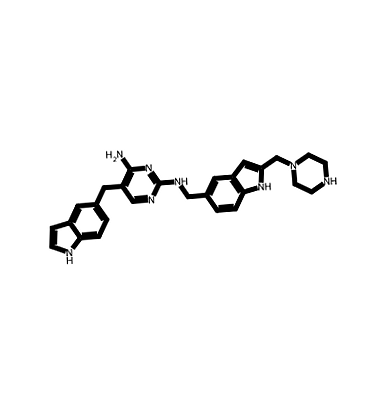 Nc1nc(NCc2ccc3[nH]c(CN4CCNCC4)cc3c2)ncc1Cc1ccc2[nH]ccc2c1